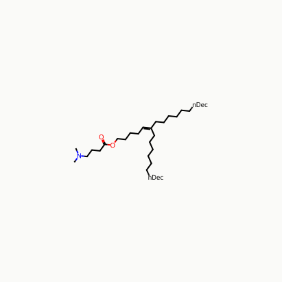 CCCCCCCCCCCCCCCCC(=CCCCCOC(=O)CCCN(C)C)CCCCCCCCCCCCCCCC